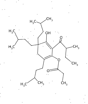 CCC(=O)OC1=C(CCC(C)C)CC(CCC(C)C)(CCC(C)C)C(O)=C1C(=O)C(C)CC